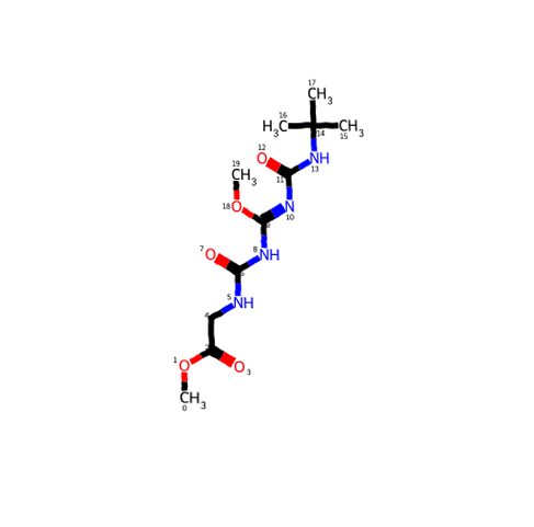 COC(=O)CNC(=O)NC(=NC(=O)NC(C)(C)C)OC